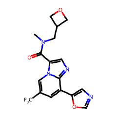 CN(CC1COC1)C(=O)c1cnc2c(-c3cnco3)cc(C(F)(F)F)cn12